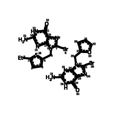 CCc1ccc(Cn2c(Br)nc3c(=O)[nH]c(N)nc32)s1.Nc1nc2c(nc(Br)n2Cc2ccco2)c(=O)[nH]1